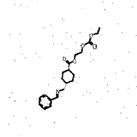 CCOC(=O)OCCOC(=O)[C@H]1CC[C@H](CN=Cc2ccccc2)CC1